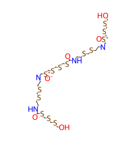 O=C(NCCSCSCC/N=C\[S+]([O-])CSCSCSC(=O)NCCSCSCC/N=C\[S+]([O-])CSCSCO)SCSCSCO